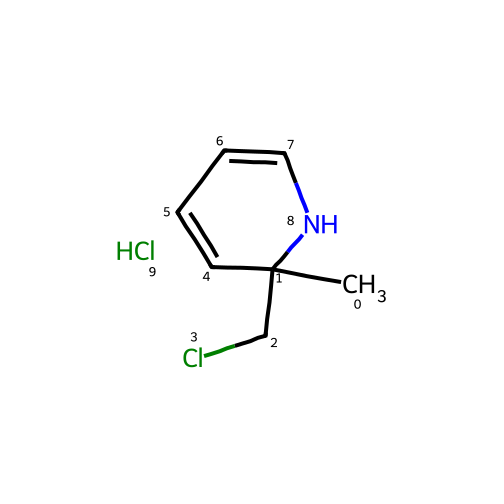 CC1(CCl)C=CC=CN1.Cl